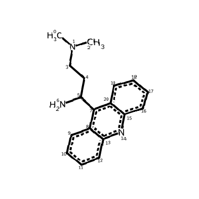 CN(C)CCC(N)c1c2ccccc2nc2ccccc12